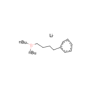 CCCCB(CCCC)CCCCc1ccccc1.[Li]